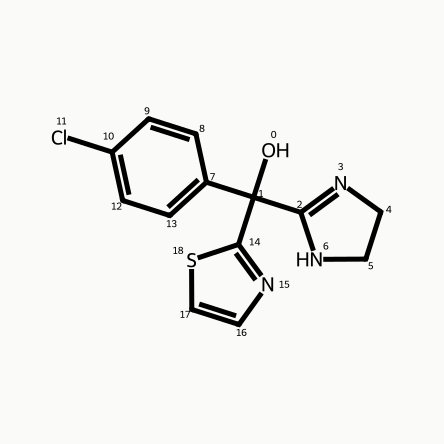 OC(C1=NCCN1)(c1ccc(Cl)cc1)c1nccs1